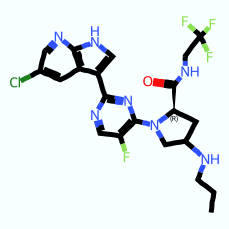 CCCNC1C[C@H](C(=O)NCC(F)(F)F)N(c2nc(-c3c[nH]c4ncc(Cl)cc34)ncc2F)C1